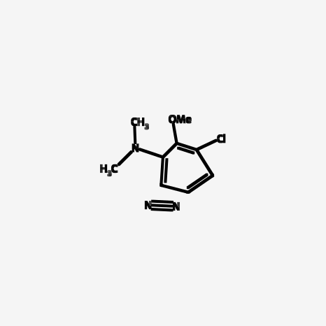 COc1c(Cl)cccc1N(C)C.N#N